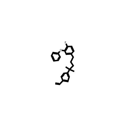 C=Cc1ccc(C(C)(C)CCCc2ccc(F)c(Oc3ccccc3)c2)cc1